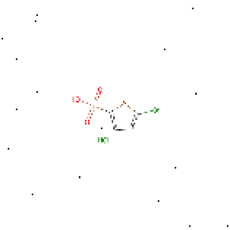 Cl.O=S(=O)(O)c1ccc(Br)s1